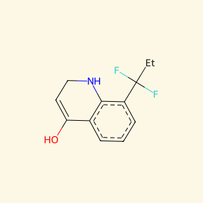 CCC(F)(F)c1cccc2c1NCC=C2O